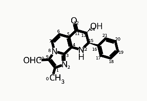 Cc1nc2c3c(ccn2c1C=O)C(=O)[C@H](O)[C@@H](c1ccccc1)N3